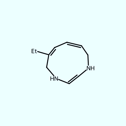 CC/C1=C/C=C\CN/C=C\NC1